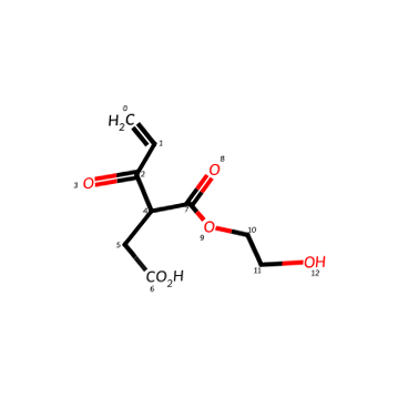 C=CC(=O)C(CC(=O)O)C(=O)OCCO